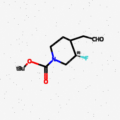 CC(C)(C)OC(=O)N1CCC(CC=O)[C@H](F)C1